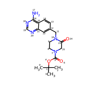 CC(C)(C)OC(=O)N1CCN(Cc2ccc3c(N)ncnc3c2)C(=O)C1